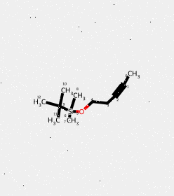 CC#CCCO[Si](C)(C)C(C)(C)C